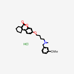 COc1cccc(CN(C)CCCCOc2ccc3c4c(c(=O)oc3c2)CCCC4)c1.Cl